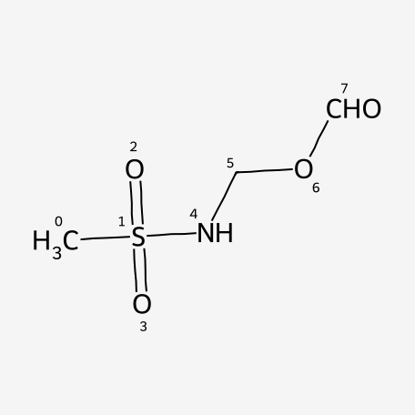 CS(=O)(=O)NCOC=O